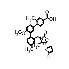 COc1ccc(-c2ccc(C(=O)O)cc2C)cc1-c1ccc(C)cc1CN1C(=O)O[C@H](c2ccc(Cl)s2)[C@@H]1C